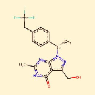 Cc1nc2c(c(CO)nn2[C@@H](C)c2ccc(CC(F)(F)F)cc2)c(=O)[nH]1